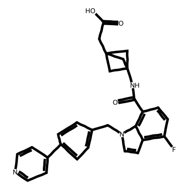 O=C(O)CC12CC(NC(=O)c3ccc(F)c4ccn(Cc5ccc(-c6ccncc6)cc5)c34)(C1)C2